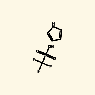 O=S(=O)(O)C(F)(F)F.c1cc[nH]c1